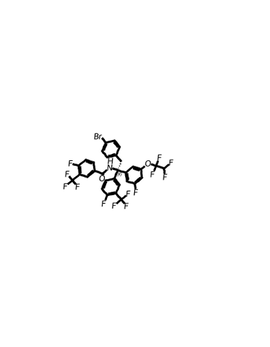 O=C(N[C@@](Cc1ccc(Br)cc1)(c1cc(F)cc(OC(F)(F)C(F)F)c1)c1ccc(F)c(C(F)(F)F)c1)c1ccc(F)c(C(F)(F)F)c1